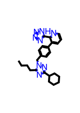 CCCCc1nc(C2CCCCC2)nn1Cc1ccc(-c2cccnc2-c2nnn[nH]2)cc1